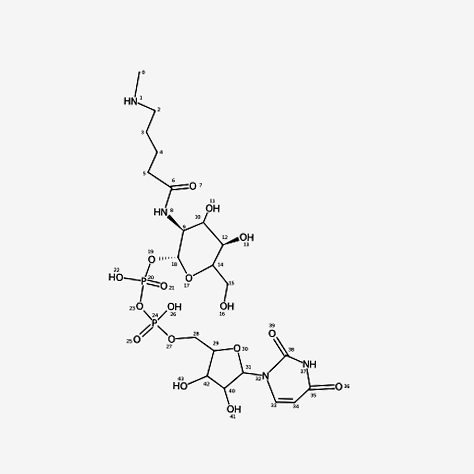 CNCCCCC(=O)N[C@H]1C(O)[C@@H](O)C(CO)O[C@@H]1OP(=O)(O)OP(=O)(O)OCC1OC(n2ccc(=O)[nH]c2=O)C(O)C1O